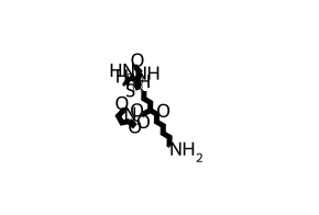 NCCCCCC(=O)C(CCC[C@@H]1SC[C@@H]2NC(=O)N[C@@H]21)C(=O)ON1C(=O)CCC1=O